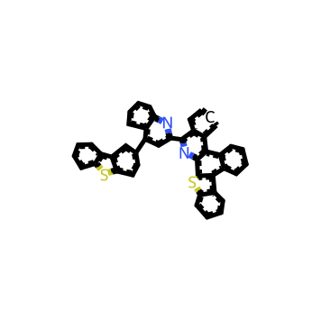 c1ccc2c(-c3ccc4sc5ccccc5c4c3)cc(-c3nc4c5sc6ccccc6c5c5ccccc5c4c4ccccc34)nc2c1